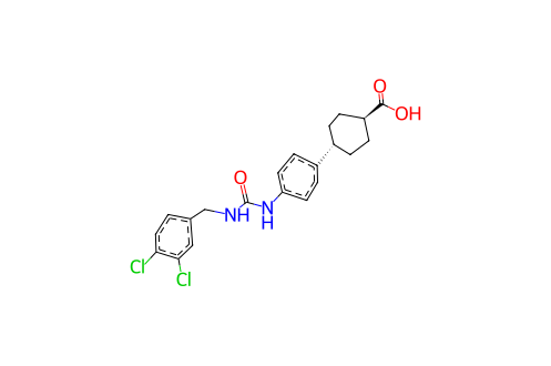 O=C(NCc1ccc(Cl)c(Cl)c1)Nc1ccc([C@H]2CC[C@H](C(=O)O)CC2)cc1